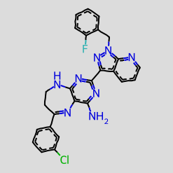 Nc1nc(-c2nn(Cc3ccccc3F)c3ncccc23)nc2c1N=C(c1cccc(Cl)c1)CCN2